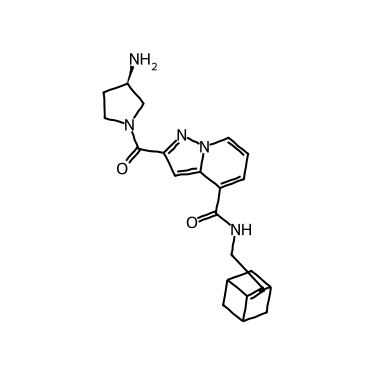 N[C@@H]1CCN(C(=O)c2cc3c(C(=O)NCC4=C5C6CC(C4)CC5C6)cccn3n2)C1